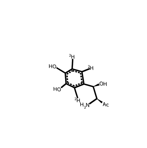 [2H]c1c([2H])c([C@@H](O)[C@H](N)C(C)=O)c([2H])c(O)c1O